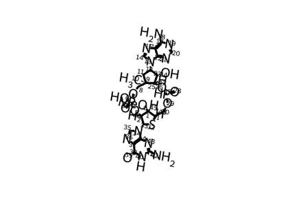 CO[C@H]1[C@H]2OP(=O)(O)OC[C@@]3(C)C[C@@H](n4cnc5c(N)ncnc54)[C@H](O)[C@@H]3O[PH](=O)OC[C@H]1S[C@H]2n1cnc2c(=O)[nH]c(N)nc21